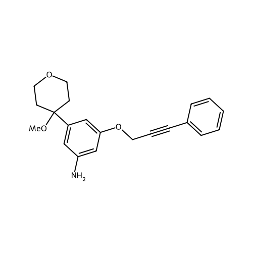 COC1(c2cc(N)cc(OCC#Cc3ccccc3)c2)CCOCC1